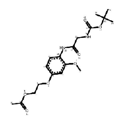 COc1cc(OCCOC(C)=O)ccc1NC(=O)CNC(=O)OC(C)(C)C